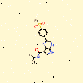 CCC(CC)NC(=O)c1c[nH]c2ncc(-c3ccc(S(=O)(=O)C(C)C)cc3)nc12